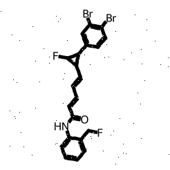 O=C(/C=C/C=C/C1C(F)C1c1ccc(Br)c(Br)c1)Nc1ccccc1CF